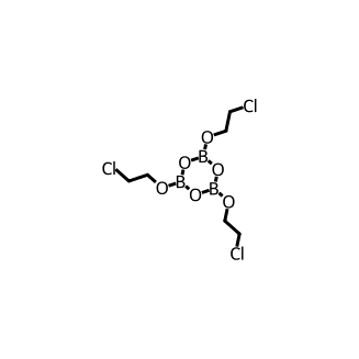 ClCCOB1OB(OCCCl)OB(OCCCl)O1